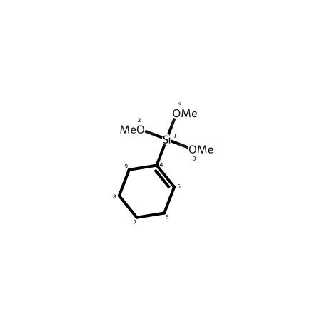 CO[Si](OC)(OC)C1=CCCCC1